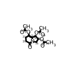 CC(=O)OC1=C2[C@H](OC(C)=O)[C@H](OC(C)=O)CN2C(=O)CC1